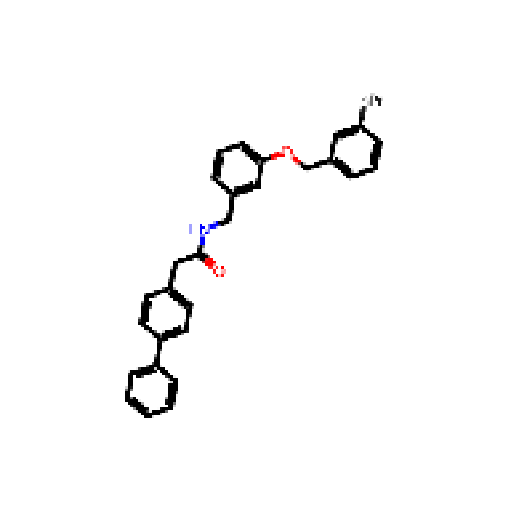 CCCc1cccc(COc2cccc(CNC(=O)Cc3ccc(-c4ccccc4)cc3)c2)c1